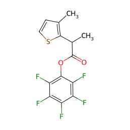 Cc1ccsc1C(C)C(=O)Oc1c(F)c(F)c(F)c(F)c1F